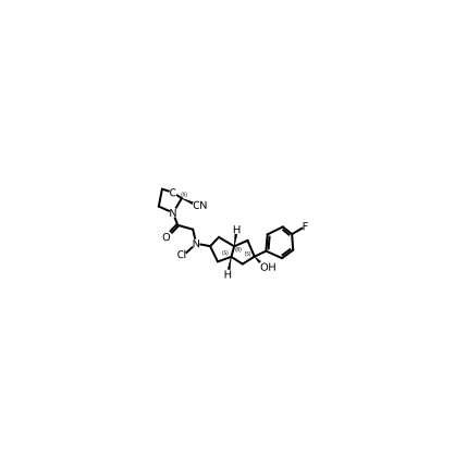 N#C[C@@H]1CCCN1C(=O)CN(Cl)C1C[C@@H]2C[C@](O)(c3ccc(F)cc3)C[C@@H]2C1